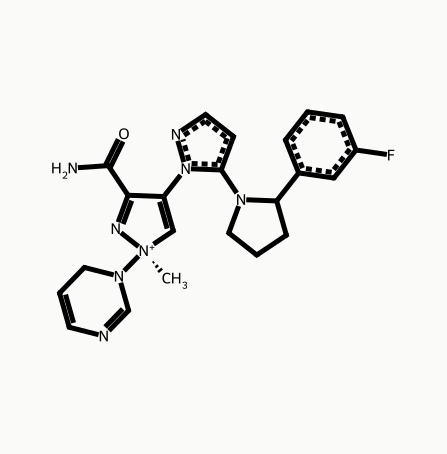 C[N@@+]1(N2C=NC=CC2)C=C(n2nccc2N2CCCC2c2cccc(F)c2)C(C(N)=O)=N1